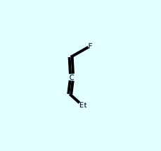 CCC=C=CF